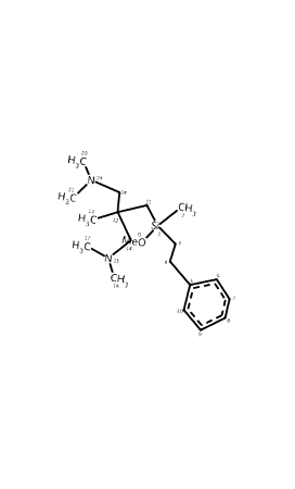 CO[Si](C)(CCc1ccccc1)CC(C)(CN(C)C)CN(C)C